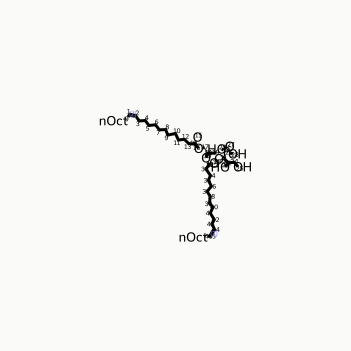 CCCCCCCC/C=C\CCCCCCCCCCCC(=O)OC[C@H](COC(C(O)CO)P(=O)(O)O)OC(=O)CCCCCCCCCCC/C=C\CCCCCCCC